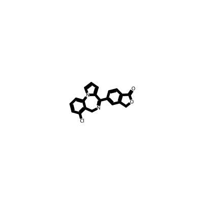 O=C1OCc2cc(C3=NCc4c(Cl)cccc4-n4cccc43)ccc21